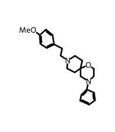 COc1ccc(CCN2CCC3(CC2)CN(c2ccccc2)CCO3)cc1